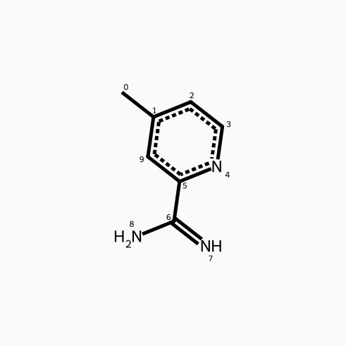 Cc1ccnc(C(=N)N)c1